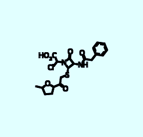 CC1CCC(C(=O)CS[C@@H]2[C@H](NC(=O)Cc3ccccc3)C(=O)N2C(Cl)C(=O)O)O1